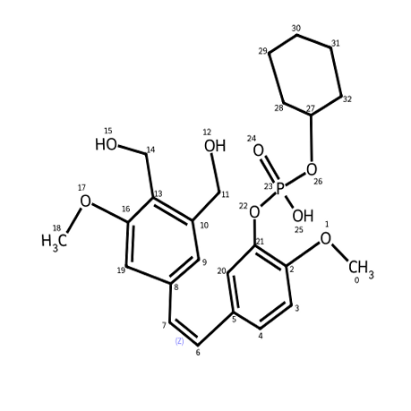 COc1ccc(/C=C\c2cc(CO)c(CO)c(OC)c2)cc1OP(=O)(O)OC1CCCCC1